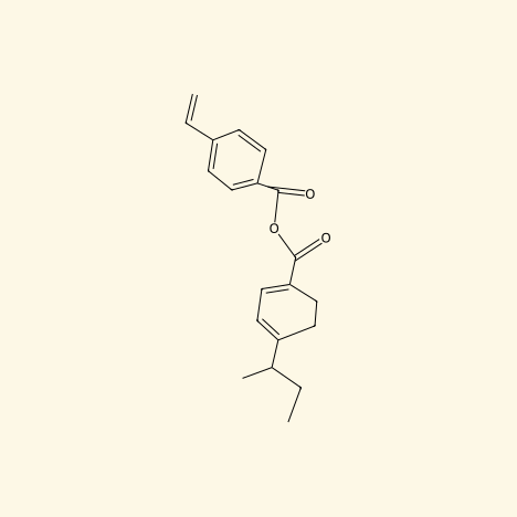 C=Cc1ccc(C(=O)OC(=O)C2=CC=C(C(C)CC)CC2)cc1